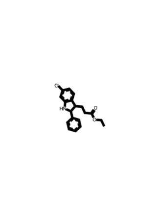 CCOC(=O)CCC1c2ccc(Cl)cc2NC1c1ccccc1